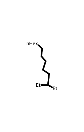 CCCCCCCC[CH]CCC(CC)CC